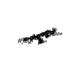 COc1ccc(CN2CCN(C3CC4(CCN(c5ccc(C(=O)NS(=O)(=O)c6ccc(NC[C@H]7CC[C@](C)(O)CC7)c([N+](=O)[O-])c6)c(Oc6cnc7[nH]cc(F)c7c6)c5)CC4)C3)C(c3ccccc3C(C)C)C2)cc1OC(F)F